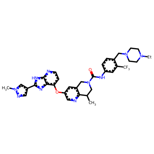 CCN1CCN(Cc2ccc(NC(=O)N3Cc4cc(Oc5ccnc6[nH]c(-c7cnn(C)c7)nc56)cnc4C(C)C3)cc2C(F)(F)F)CC1